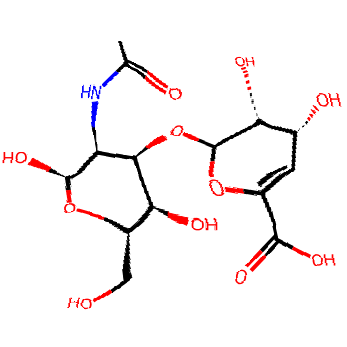 CC(=O)N[C@H]1[C@@H](OC2OC(C(=O)O)=C[C@@H](O)[C@H]2O)[C@@H](O)[C@@H](CO)O[C@H]1O